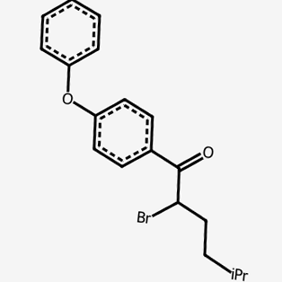 CC(C)CCC(Br)C(=O)c1ccc(Oc2ccccc2)cc1